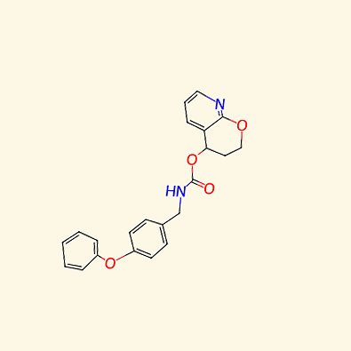 O=C(NCc1ccc(Oc2ccccc2)cc1)OC1CCOc2ncccc21